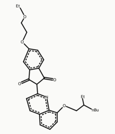 CCCCC(CC)COc1cccc2ccc(C3C(=O)c4ccc(OCCOCC)cc4C3=O)nc12